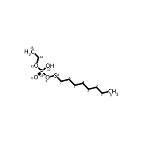 CCCCCCCCSOP(=O)(O)OCC